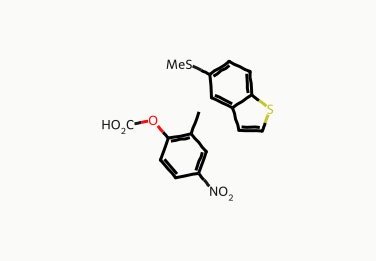 CSc1ccc2sccc2c1.Cc1cc([N+](=O)[O-])ccc1OC(=O)O